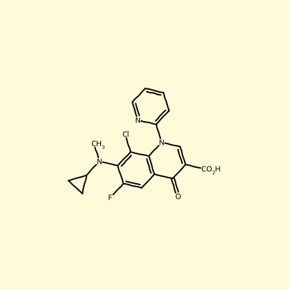 CN(c1c(F)cc2c(=O)c(C(=O)O)cn(-c3ccccn3)c2c1Cl)C1CC1